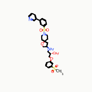 CS(=O)(=O)c1cccc(OC[C@@H](O)CNC2COC3(CCN(S(=O)(=O)c4cccc(-c5cccnc5)c4)CC3)C2)c1